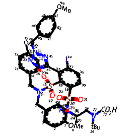 COc1ccc(CN(Cc2ccc(OC)cc2)S(=O)(=O)c2c(S(=O)(=O)N[C@H](C)CN(C(=O)O)C(C)(C)C)ccc(I)c2-c2nnn(Cc3ccc(OC)cc3)n2)cc1